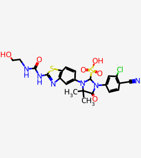 CC1(C)C(=O)N(c2ccc(C#N)c(Cl)c2)C(S(=O)(=O)O)N1c1ccc2sc(NC(=O)NCCO)nc2c1